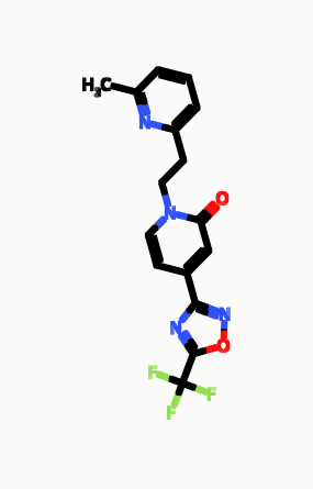 Cc1cccc(CCn2ccc(-c3noc(C(F)(F)F)n3)cc2=O)n1